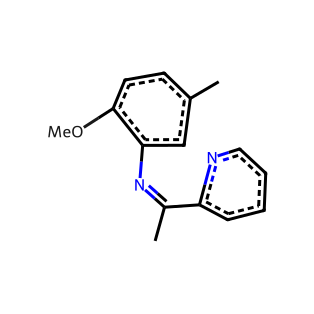 COc1ccc(C)cc1N=C(C)c1ccccn1